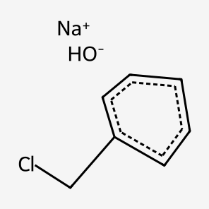 ClCc1ccccc1.[Na+].[OH-]